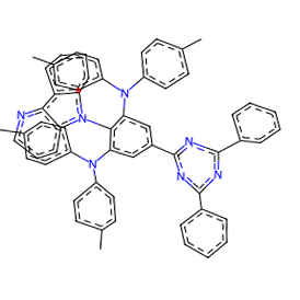 Cc1ccc(N(c2ccc(C)cc2)c2cc(-c3nc(-c4ccccc4)nc(-c4ccccc4)n3)cc(N(c3ccc(C)cc3)c3ccc(C)cc3)c2-n2c3ccccc3c3ncccc32)cc1